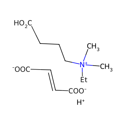 CC[N+](C)(C)CCCC(=O)O.O=C([O-])/C=C/C(=O)[O-].[H+]